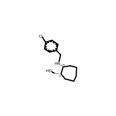 OC[C@H]1CCCCC[C@H]1NCc1ccc(Cl)cc1